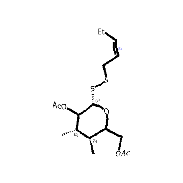 CC/C=C\CSS[C@@H]1OC(COC(C)=O)[C@@H](C)[C@H](C)C1OC(C)=O